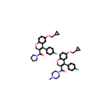 CN1CCN(C(=O)C2=C(c3ccc(F)cc3)c3cc(OCC4CC4)ccc3OC2)CC1.O=C(C1=C(c2ccc(F)cc2)c2cc(OCC3CC3)ccc2OC1)N1CCCC1